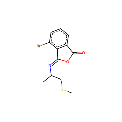 CSCC(C)N=C1OC(=O)c2cccc(Br)c21